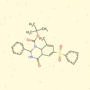 CC1=CC(S(=O)(=O)c2ccccc2)=CC2C(=O)NC(c3ccccc3)N(C(=O)OC(C)(C)C)C12